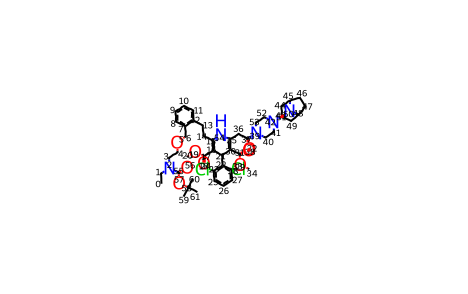 CCN(CCOCc1ccccc1CCC1=C(C(=O)OC)C(c2c(Cl)cccc2Cl)C(C(=O)OC)=C(CC(=O)N2CCN(C3CC4CCC(C3)N4C)CC2)N1)C(=O)OC(C)(C)C